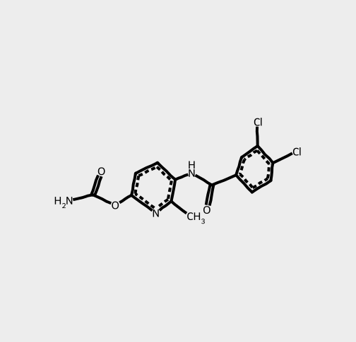 Cc1nc(OC(N)=O)ccc1NC(=O)c1ccc(Cl)c(Cl)c1